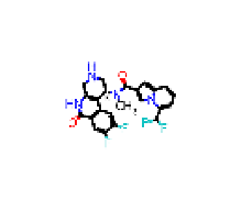 CN(C(=O)c1cc2cccc(C(F)F)n2c1)[C@H]1CNCc2[nH]c(=O)c3cc(F)c(F)cc3c21